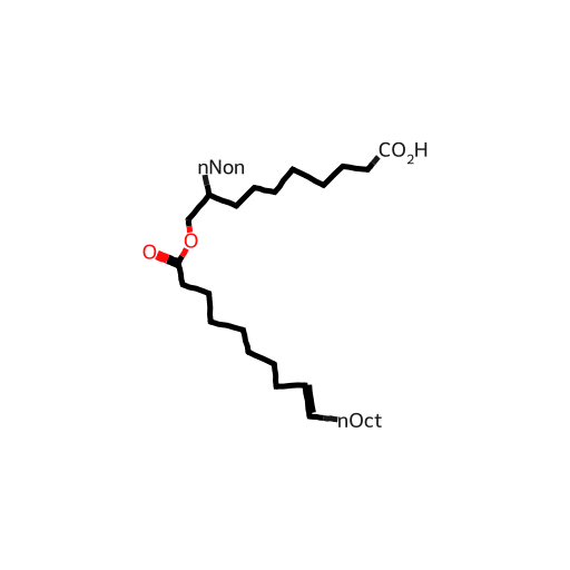 CCCCCCCCC=CCCCCCCCC(=O)OCC(CCCCCCCCC)CCCCCCCC(=O)O